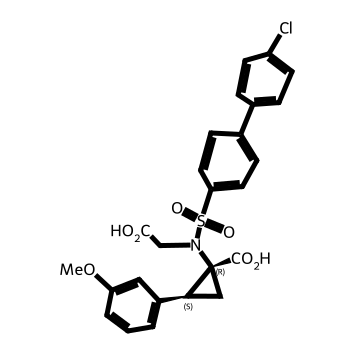 COc1cccc([C@@H]2C[C@@]2(C(=O)O)N(CC(=O)O)S(=O)(=O)c2ccc(-c3ccc(Cl)cc3)cc2)c1